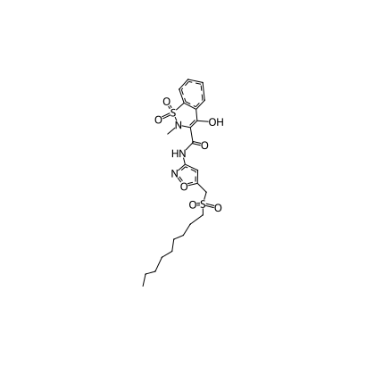 CCCCCCCCCS(=O)(=O)Cc1cc(NC(=O)C2=C(O)c3ccccc3S(=O)(=O)N2C)no1